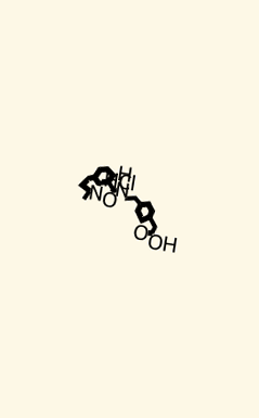 Cc1ccc2cccc(C(=O)NCCc3ccc(CC(=O)O)cc3)c2n1.Cl